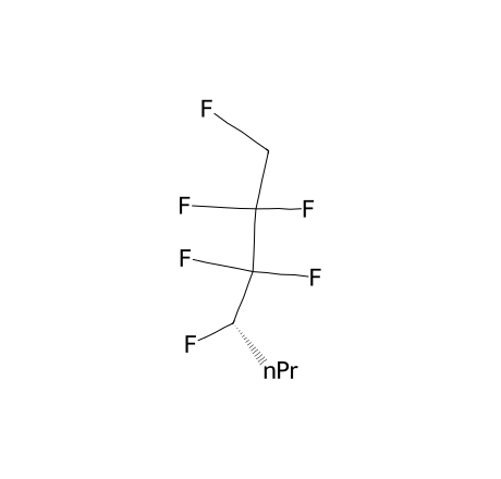 [CH2]CC[C@H](F)C(F)(F)C(F)(F)CF